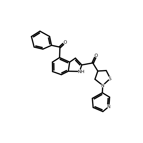 O=C(c1ccccc1)c1cccc2[nH]c(C(=O)C3CSN(c4cccnc4)C3)cc12